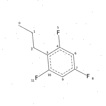 CC[CH]c1c(F)cc(F)cc1F